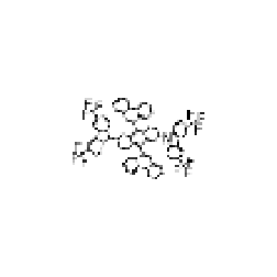 FC(F)(F)c1ccc2c(c1)-c1cc(C(F)(F)F)ccc1C2c1ccc2c(-c3cc4ccccc4c4ccccc34)c3cc(-n4c5ccc(C(F)(F)F)cc5c5cc(C(F)(F)F)ccc54)ccc3c(-c3cc4ccccc4c4ccccc34)c2c1